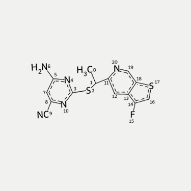 CC(Sc1nc(N)cc(C#N)n1)c1cc2c(F)csc2cn1